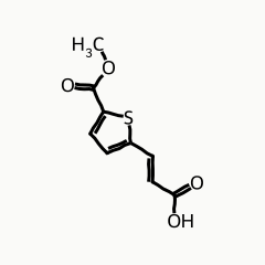 COC(=O)c1ccc(C=CC(=O)O)s1